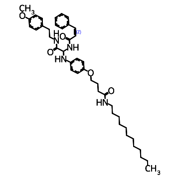 CCCCCCCCCCCCNC(=O)CCCOc1ccc(NC(NC(=O)/C=C\c2ccccc2)C(=O)NCCc2ccc(OC)cc2)cc1